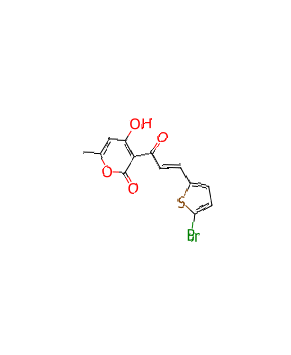 Cc1cc(O)c(C(=O)/C=C/c2ccc(Br)s2)c(=O)o1